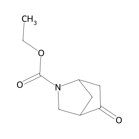 CCOC(=O)N1CC2CC1CC2=O